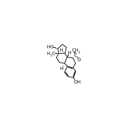 C=C=O.C[C@]12CC[C@@H]3c4ccc(O)cc4CC[C@H]3[C@@H]1CC[C@@H]2O